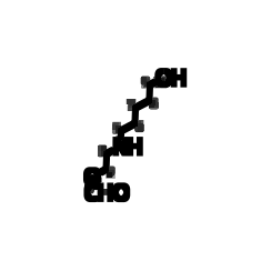 O=COCCNCCCCCO